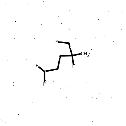 [CH2]C(F)(CF)CCC(F)F